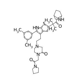 Cc1cc(C)cc(-c2[nH]c3sc(C(C)(C)C(=O)C4C5CCC4NC5)cc3c2CCN2CCN(CC(=O)N3CCCC3)C(=O)C2)c1